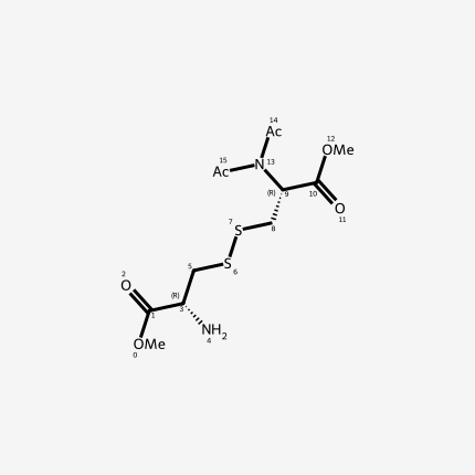 COC(=O)[C@@H](N)CSSC[C@@H](C(=O)OC)N(C(C)=O)C(C)=O